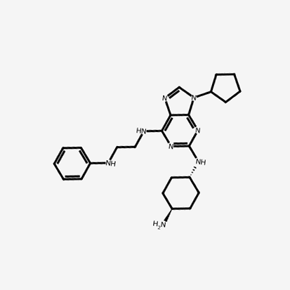 N[C@H]1CC[C@H](Nc2nc(NCCNc3ccccc3)c3ncn(C4CCCC4)c3n2)CC1